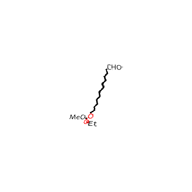 CCOC(OC)OCCCCCCCCCCCCC[C]=O